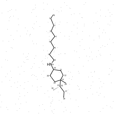 CCCCCCCCCNC1CCC(C)([C@@H](C)CC)CC1